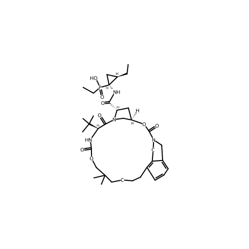 CC[C@@H]1C[C@]1(NC(=O)[C@@H]1C[C@@H]2CN1C(=O)[C@H](C(C)(C)C)NC(=O)OCC(C)(C)CCCCc1cccc3c1CN(C3)C(=O)O2)P(=O)(O)CC